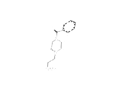 CNCCN1CCN(C(=O)c2ccccc2)CC1